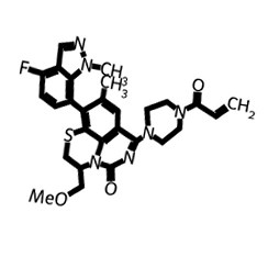 C=CC(=O)N1CCN(c2nc(=O)n3c4c(c(-c5ccc(F)c6cnn(C)c56)c(C)cc24)SCC3COC)CC1